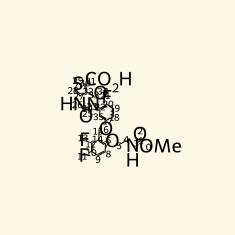 COC(=O)NCCOc1ccc(F)c(F)c1COc1ccc(F)c(-n2c(=O)[nH]c3csc(C(=O)O)c3c2=O)c1